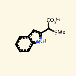 CSC(C(=O)O)c1cc2ccccc2[nH]1